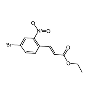 CCOC(=O)C=Cc1ccc(Br)cc1[N+](=O)[O-]